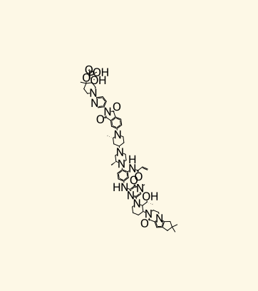 C=CC(=O)Nc1cc(Nc2nc(N3CCC[C@H](N4CCn5c(cc6c5CC(C)(C)C6)C4=O)[C@@H]3[C@@H](C)O)cn(C)c2=O)ccc1N1CCN(C2CCN(c3ccc4c(c3)C(=O)N(c3ccc(N5CCC(C)(OP(=O)(O)O)CC5)nc3)C4=O)[C@@H](C)C2)C[C@@H]1C